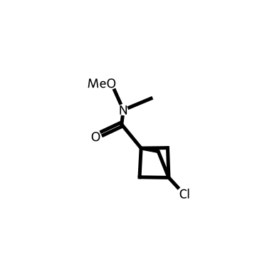 CON(C)C(=O)C12CC(Cl)(C1)C2